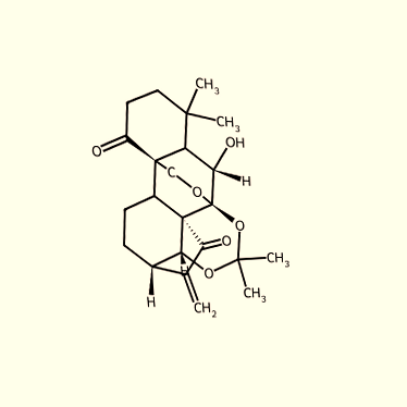 C=C1C(=O)[C@@]23C4CC[C@@H]1[C@H]2OC(C)(C)O[C@]31OC[C@]42C(=O)CCC(C)(C)C2[C@@H]1O